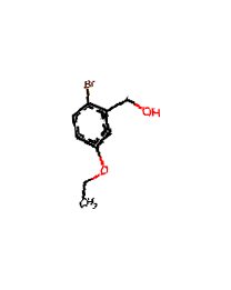 CCOc1ccc(Br)c([CH]O)c1